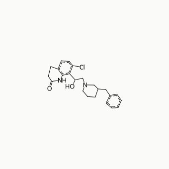 O=C1CCc2ccc(Cl)c(C(O)CN3CCCC(Cc4ccccc4)C3)c2N1